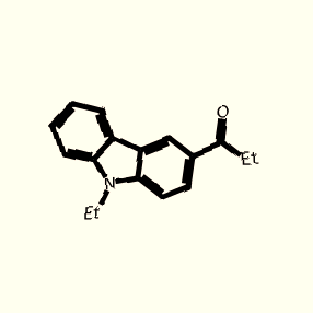 CCC(=O)c1ccc2c(c1)c1ccccc1n2CC